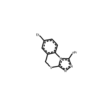 CCCc1nnc2n1-c1ccc(CC)cc1CS2